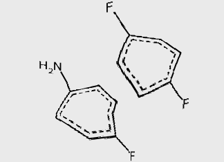 Fc1ccc(F)cc1.Nc1ccc(F)cc1